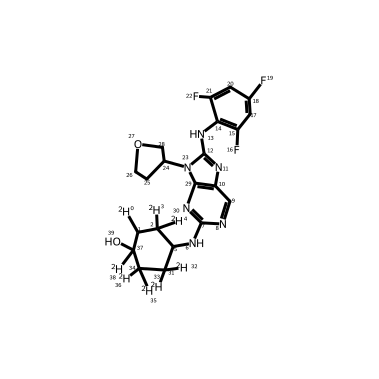 [2H]C1C([2H])([2H])C(Nc2ncc3nc(Nc4c(F)cc(F)cc4F)n(C4CCOC4)c3n2)C([2H])([2H])C([2H])([2H])C1([2H])O